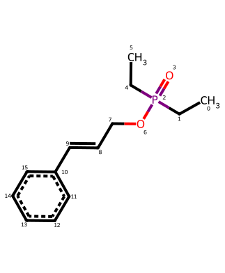 CCP(=O)(CC)OCC=Cc1ccccc1